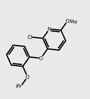 COc1ccc(Oc2ccccc2OC(C)C)c(Cl)n1